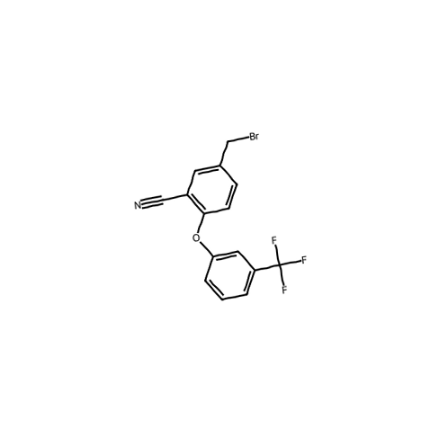 N#Cc1cc(CBr)ccc1Oc1cccc(C(F)(F)F)c1